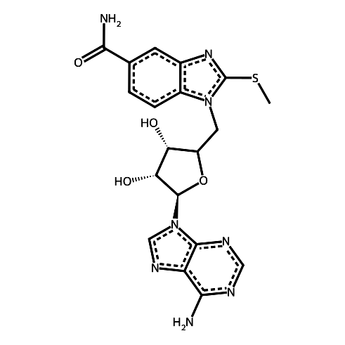 CSc1nc2cc(C(N)=O)ccc2n1CC1O[C@@H](n2cnc3c(N)ncnc32)[C@H](O)[C@@H]1O